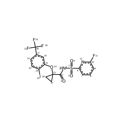 O=C(NS(=O)(=O)c1cccc(F)n1)C1(Oc2cc(C(F)(F)F)ccc2I)CC1